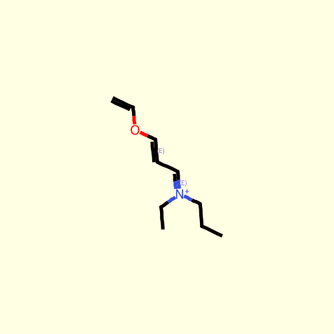 C=CO/C=C/C=[N+](\CC)CCC